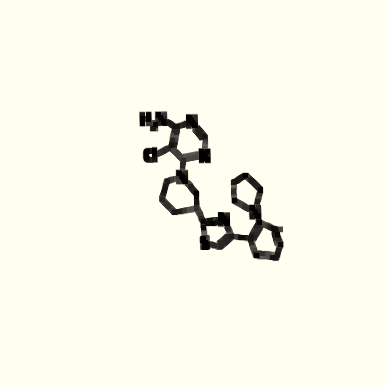 Nc1ncnc(N2CCCC(c3nc(-c4ccc[c]c4N4CCCC4)cs3)C2)c1Cl